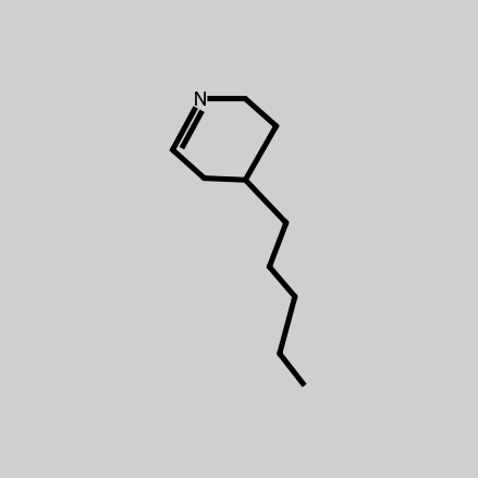 CCCCCC1CC=NCC1